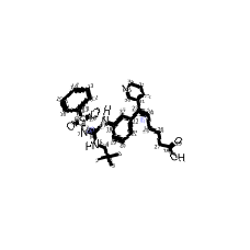 CC(C)(C)CN/C(=N/S(=O)(=O)c1ccccc1)Nc1cccc(/C(=C\CCCC(=O)O)c2cccnc2)c1